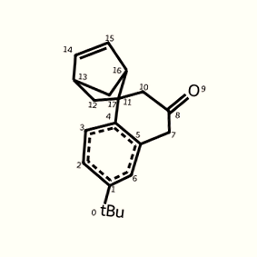 CC(C)(C)c1ccc2c(c1)CC(=O)CC21CC2C=CC1C2